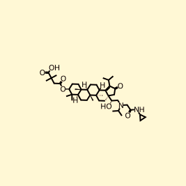 CC(C)C1=C2[C@H]3CC[C@@H]4[C@@]5(C)CC[C@H](OC(=O)CC(C)(C)C(=O)O)C(C)(C)[C@@H]5CC[C@@]4(C)[C@]3(C)CC[C@@]2([C@@H](O)CN(CC(=O)NC2CC2)C(C)C)CC1=O